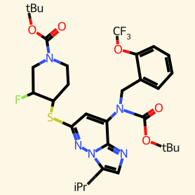 CC(C)c1cnc2c(N(Cc3ccccc3OC(F)(F)F)C(=O)OC(C)(C)C)cc(SC3CCN(C(=O)OC(C)(C)C)CC3F)nn12